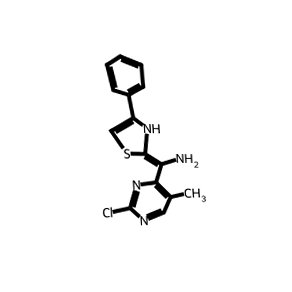 Cc1cnc(Cl)nc1/C(N)=C1/NC(c2ccccc2)=CS1